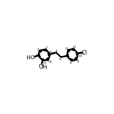 Oc1ccc(CCc2ccc(Cl)cc2)cc1O